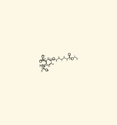 CCOC(=O)CCCCCOc1ccc(NC(C)=O)c([N+](=O)[O-])c1